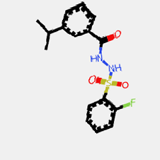 CC(C)c1cccc(C(=O)NNS(=O)(=O)c2ccccc2F)c1